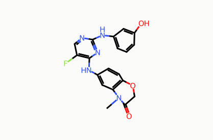 CN1C(=O)COc2ccc(Nc3nc(Nc4cccc(O)c4)ncc3F)cc21